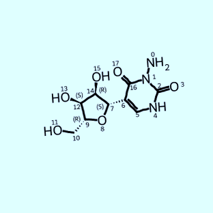 Nn1c(=O)[nH]cc([C@@H]2O[C@H](CO)[C@@H](O)[C@H]2O)c1=O